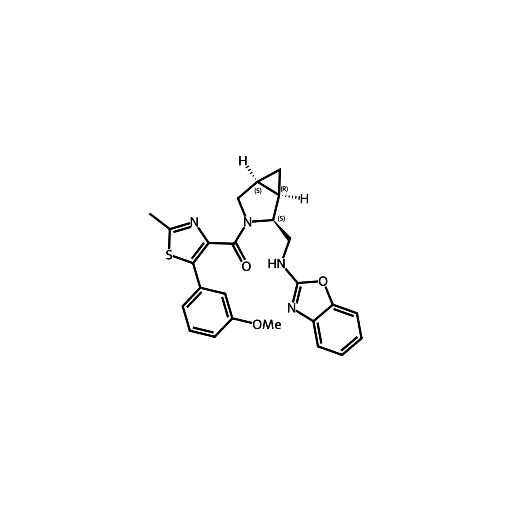 COc1cccc(-c2sc(C)nc2C(=O)N2C[C@H]3C[C@H]3[C@H]2CNc2nc3ccccc3o2)c1